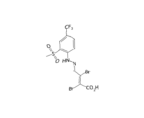 CS(=O)(=O)c1cc(C(F)(F)F)ccc1NN=CC(Br)=C(Br)C(=O)O